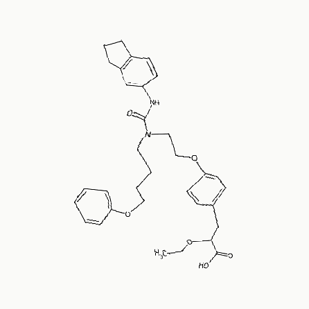 CCOC(Cc1ccc(OCCN(CCCCOc2ccccc2)C(=O)Nc2ccc3c(c2)CCC3)cc1)C(=O)O